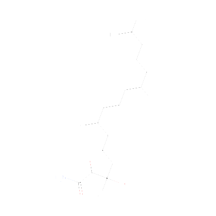 CC(C)CCCC(C)CCCC(C)CCCC(C)(O)C(O)C(N)=O